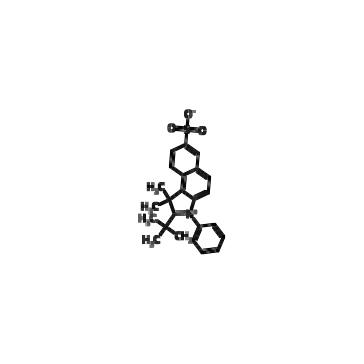 CC(C)(C)C1=[N+](c2ccccc2)c2ccc3cc(S(=O)(=O)[O-])ccc3c2C1(C)C